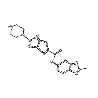 Cc1nc2cc(NC(=O)c3cc4sc(N5CCNCC5)nc4s3)ccc2o1